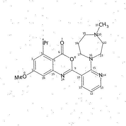 COc1cc(C(C)C)c2c(=O)oc(-c3cccnc3N3CCCN(C)CC3)nc2c1